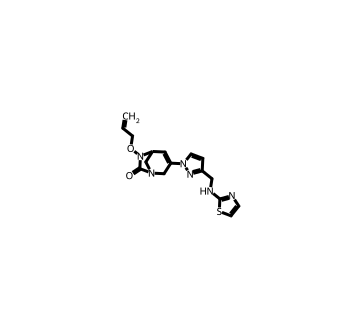 C=CCON1C(=O)N2CC(n3ccc(CNc4nccs4)n3)=CC1C2